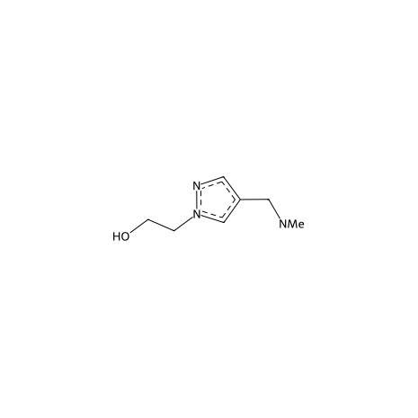 CNCc1cnn(CCO)c1